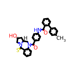 Cc1ccc(-c2ccccc2C(=O)Nc2ccc(C(=O)N3C[C@@H]4C[C@@H](O)CN4C(=S)c4ccccc43)cc2)cc1